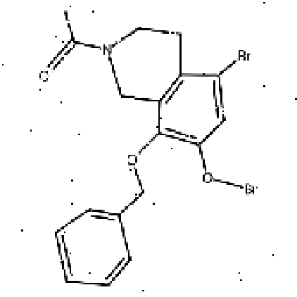 CC(=O)N1CCc2c(Br)cc(OBr)c(OCc3ccccc3)c2C1